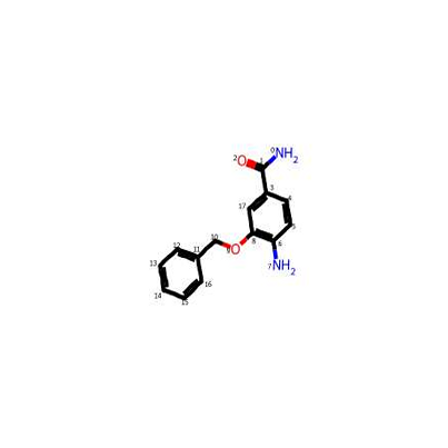 NC(=O)c1ccc(N)c(OCc2ccccc2)c1